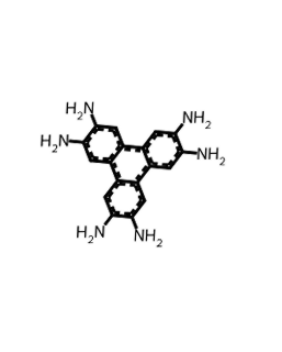 Nc1cc2c3cc(N)c(N)cc3c3cc(N)c(N)cc3c2cc1N